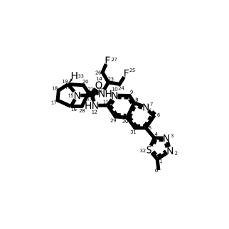 Cc1nnc(-c2cnc3cnc(NC(=O)N4C5CC[C@H]4CC(NC(CF)CF)C5)cc3c2)s1